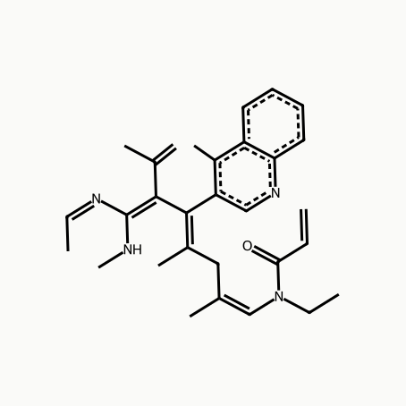 C=CC(=O)N(/C=C(/C)C/C(C)=C(/C(C(=C)C)=C(/N=C\C)NC)c1cnc2ccccc2c1C)CC